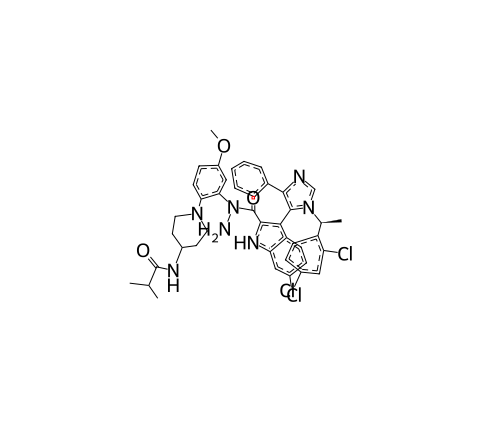 COc1ccc(N2CCC(NC(=O)C(C)C)CC2)c(N(N)C(=O)c2[nH]c3cc(Cl)ccc3c2-c2c(-c3ccccc3)ncn2[C@@H](C)c2ccc(Cl)cc2Cl)c1